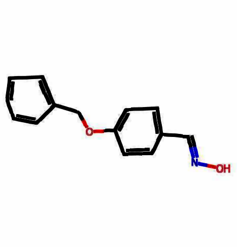 O/N=C/c1ccc(OCc2ccccc2)cc1